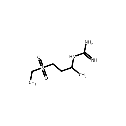 CCS(=O)(=O)CCC(C)NC(=N)N